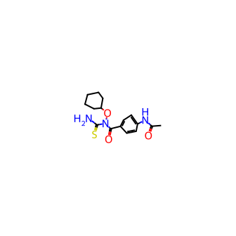 CC(=O)Nc1ccc(C(=O)N(OC2CCCCC2)C(N)=S)cc1